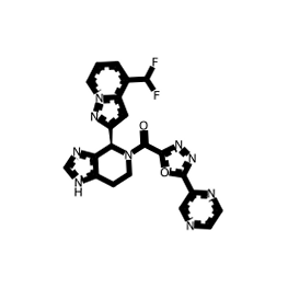 O=C(c1nnc(-c2cnccn2)o1)N1CCc2[nH]cnc2[C@H]1c1cc2c(C(F)F)cccn2n1